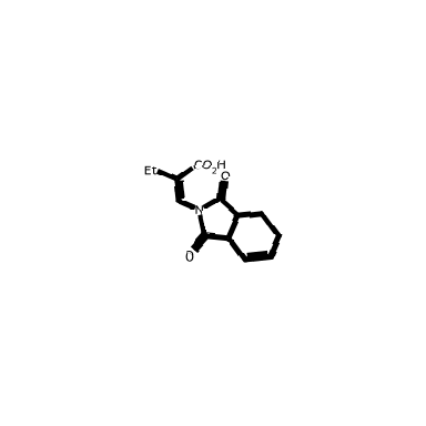 CCC(=CN1C(=O)C2C=CCCC2C1=O)C(=O)O